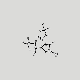 C[C@H]1[C@@H](C(=O)OC(C)(C)C)[C@@H](C(=O)OC(C)(C)C)C[C@@H]1O